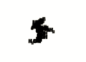 CCn1nnc([C@H]2O[C@@H](n3cnc4c(NCC(O)(c5ccc(F)cc5)c5ccc(F)cc5)nc(N5CCC(N)C5)nc43)[C@H](O)[C@@H]2O)n1